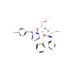 CCCC(C)(C)C(OC(N)=O)(C(=O)C(C#N)=P(c1ccccc1)(c1ccccc1)c1ccccc1)C(CC)c1nnc(-c2ccc(C(F)(F)F)cc2)o1